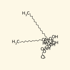 CCCCCCCCCCCCCCCCCCN(C(=O)OCCCCCCCCCCCCCC)[C@@H]1O[C@H](CO)[C@@H](O)[C@H](O)[C@H]1NC(=O)CNC(=O)OCc1ccccc1